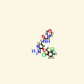 CC(Oc1cc(CNC(=O)CN2CCOCC2)cnc1N)c1c(Cl)ccc(F)c1Cl